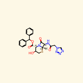 O=C(Cn1cnnn1)N[C@@H]1C(=O)N2[C@@H](C(=O)OC(c3ccccc3)c3ccccc3)C(O)CS[C@@H]12